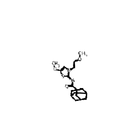 COCCn1cc(OC)s/c1=N\C(=O)C12CC3CC(CC(C3)C1)C2